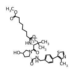 COC(=O)CCCCCCC(=O)N[C@@H](C(=O)N1C[C@H](O)C[C@H]1C(=O)NCc1ccc(-c2scnc2C)cc1)C(C)(C)C